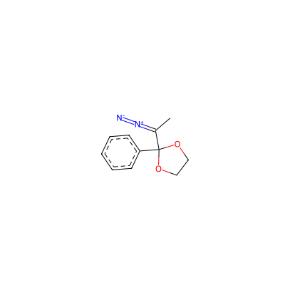 CC(=[N+]=[N-])C1(c2ccccc2)OCCO1